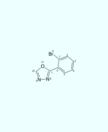 Brc1ccccc1-c1nnco1